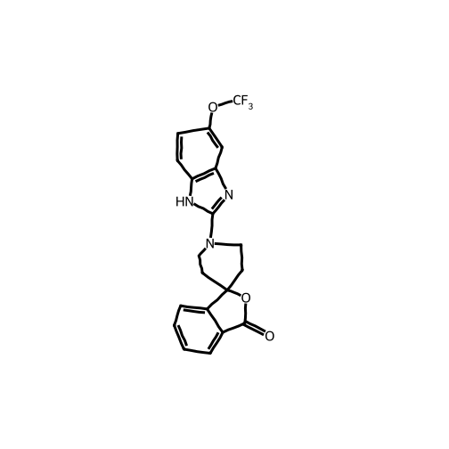 O=C1OC2(CCN(c3nc4cc(OC(F)(F)F)ccc4[nH]3)CC2)c2ccccc21